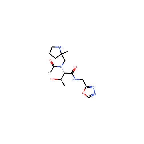 CCC(=O)N(CC1(C)CCCN1)[C@H](C(=O)NCc1nnco1)[C@@H](C)O